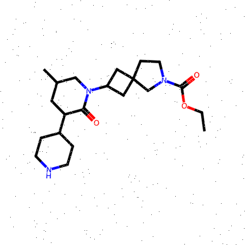 CCOC(=O)N1CCC2(CC(N3CC(C)CC(C4CCNCC4)C3=O)C2)C1